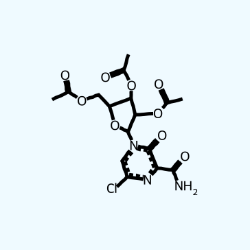 CC(=O)OCC1OC(n2cc(Cl)nc(C(N)=O)c2=O)C(OC(C)=O)C1OC(C)=O